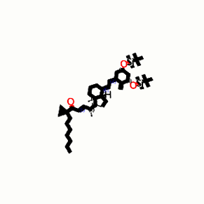 C=C1/C(=C\C=C2/CCC[C@]3(C)[C@@H]([C@H](C)/C=C/C(=O)C4(CCCCCCC)CC4)CC[C@@H]23)C[C@@H](O[Si](C)(C)C(C)(C)C)C[C@@H]1O[Si](C)(C)C(C)(C)C